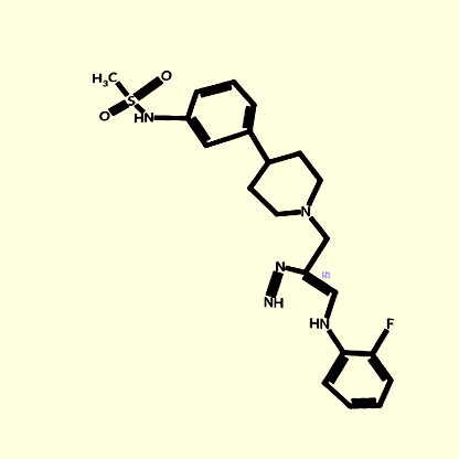 CS(=O)(=O)Nc1cccc(C2CCN(C/C(=C/Nc3ccccc3F)N=N)CC2)c1